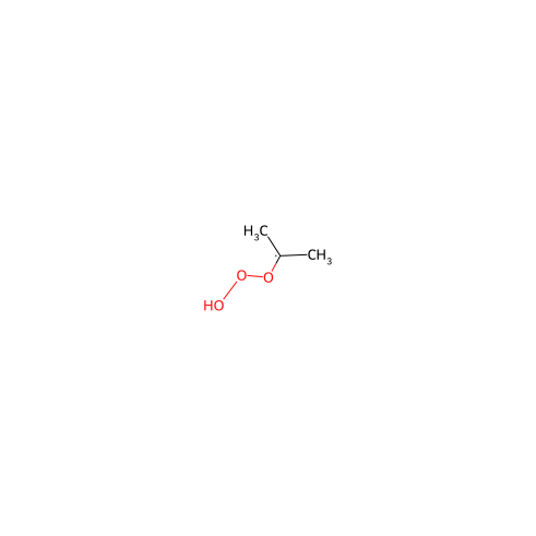 C[C](C)OOO